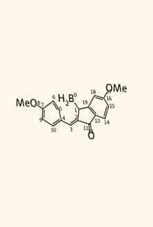 BC1/C(=C\c2ccc(OC)cc2)C(=O)c2ccc(OC)cc21